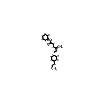 CCC[C@H]1CC[C@H](CCC(C)CCC(=O)OC2CCCCC2)CC1